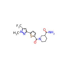 Cn1nc(-c2ccc(C(=O)N3CCCC(C(N)=O)C3)s2)cc1C(F)(F)F